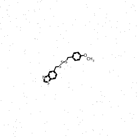 COc1ccc(CSSSCc2ccc3scnc3c2)cc1